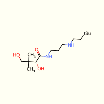 CC(C)(C)CCNCCCNC(=O)[C@H](O)C(C)(C)CO